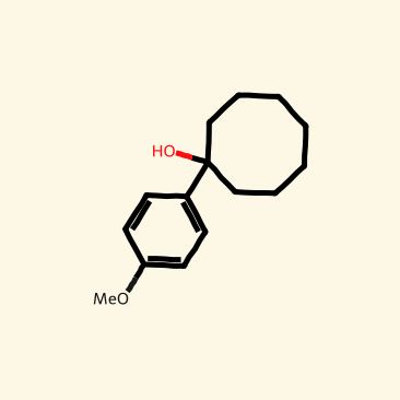 COc1ccc(C2(O)CCCCCCC2)cc1